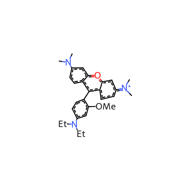 CCN(CC)c1ccc(-c2c3ccc(=[N+](C)C)cc-3oc3cc(N(C)C)ccc23)c(OC)c1